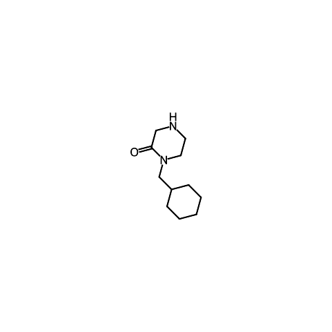 O=C1CNCCN1CC1CCCCC1